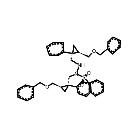 O=S(=O)(c1ccccc1)N(C[C@]1(c2ccccc2)C[C@H]1COCc1ccccc1)NC[C@]1(c2ccccc2)C[C@H]1COCc1ccccc1